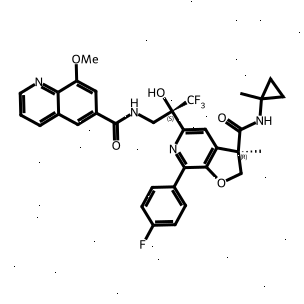 COc1cc(C(=O)NC[C@](O)(c2cc3c(c(-c4ccc(F)cc4)n2)OC[C@]3(C)C(=O)NC2(C)CC2)C(F)(F)F)cc2cccnc12